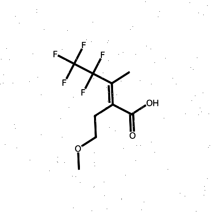 COCCC(C(=O)O)=C(C)C(F)(F)C(F)(F)F